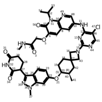 CNC(=O)COc1cc2cc(Nc3nc(N4CC5(CC[C@H](Oc6ccc7c(C8CCC(=O)NC8=O)nn(C)c7c6)[C@H](C)C5)C4)ncc3Cl)cnc2n(C(C)C)c1=O